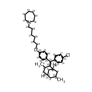 CC1C[C@@H]2C[C@H](C)C[C@H](C2)/C1=C(\c1ccc(Cl)cc1)c1ccc(OCCCCCCN2CCCCCC2)cc1